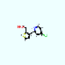 OCc1sccc1-c1cc(Cl)ccn1